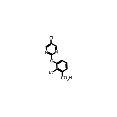 CCc1c(Oc2ncc(Cl)cn2)cccc1C(=O)O